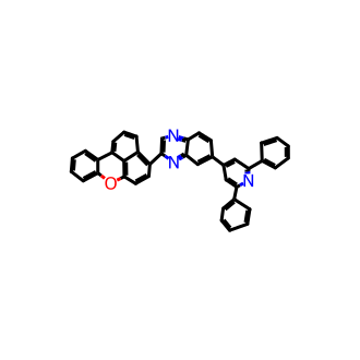 c1ccc(-c2cc(-c3ccc4ncc(-c5ccc6c7c(cccc57)-c5ccccc5O6)nc4c3)cc(-c3ccccc3)n2)cc1